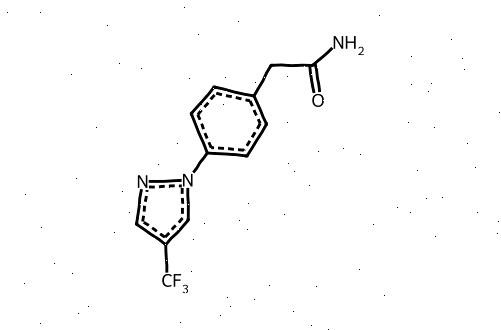 NC(=O)Cc1ccc(-n2cc(C(F)(F)F)cn2)cc1